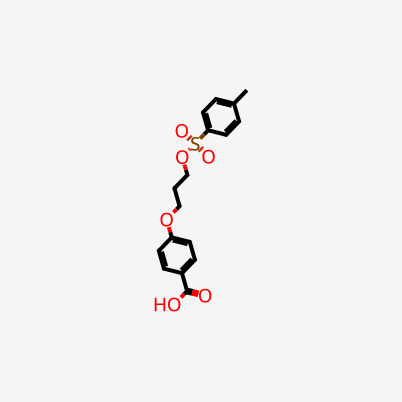 Cc1ccc(S(=O)(=O)OCCCOc2ccc(C(=O)O)cc2)cc1